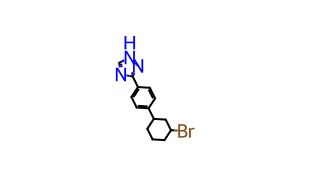 BrC1CCCC(c2ccc(-c3nc[nH]n3)cc2)C1